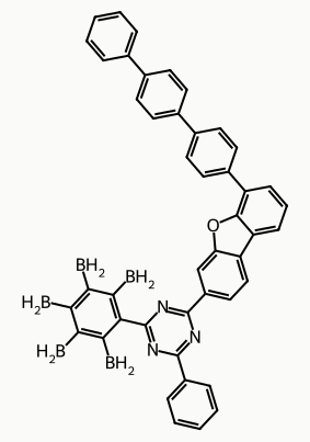 Bc1c(B)c(B)c(-c2nc(-c3ccccc3)nc(-c3ccc4c(c3)oc3c(-c5ccc(-c6ccc(-c7ccccc7)cc6)cc5)cccc34)n2)c(B)c1B